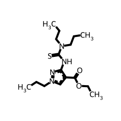 CCCN(CCC)C(=S)Nc1nn(CCC)cc1C(=O)OCC